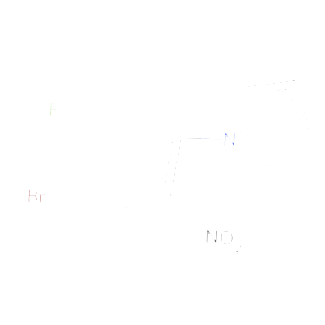 O=[N+]([O-])c1cc(Br)c(F)cc1-n1cccc1